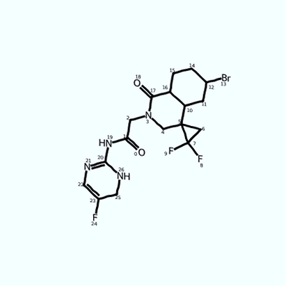 O=C(CN1CC2(CC2(F)F)C2CC(Br)CCC2C1=O)NC1=NC=C(F)CN1